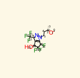 CO[C@@H](C)CCn1nc(C(F)(F)F)c2c1[C@@H](F)C(F)(F)[C@H]2O